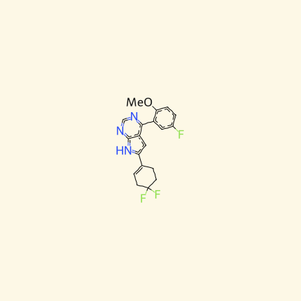 COc1ccc(F)cc1-c1ncnc2[nH]c(C3=CCC(F)(F)CC3)cc12